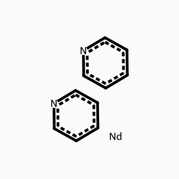 [Nd].c1ccncc1.c1ccncc1